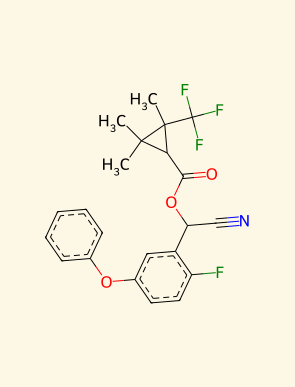 CC1(C)C(C(=O)OC(C#N)c2cc(Oc3ccccc3)ccc2F)C1(C)C(F)(F)F